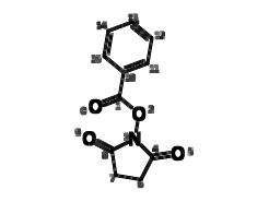 O=C(ON1C(=O)CCC1=O)c1cc[c]cc1